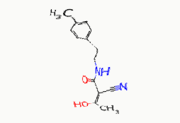 C/C(O)=C(\C#N)C(=O)NCCc1ccc(C)cc1